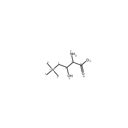 C[N+](C)(C)CC(O)C(N)C(=O)[O-]